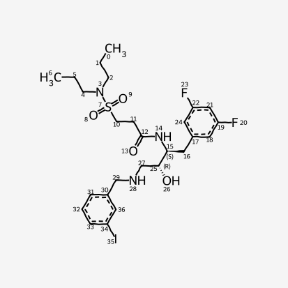 CCCN(CCC)S(=O)(=O)CCC(=O)N[C@@H](Cc1cc(F)cc(F)c1)[C@H](O)CNCc1cccc(I)c1